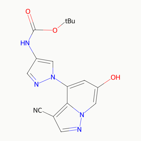 CC(C)(C)OC(=O)Nc1cnn(-c2cc(O)cn3ncc(C#N)c23)c1